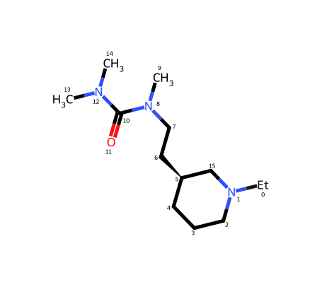 [CH2]CN1CCC[C@@H](CCN(C)C(=O)N(C)C)C1